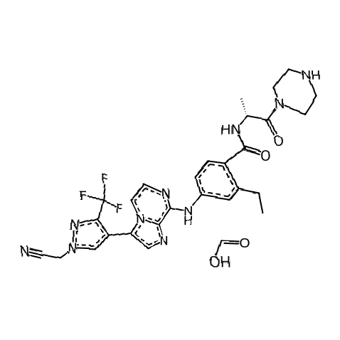 CCc1cc(Nc2nccn3c(-c4cn(CC#N)nc4C(F)(F)F)cnc23)ccc1C(=O)N[C@H](C)C(=O)N1CCNCC1.O=CO